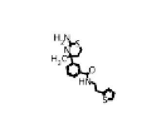 CC1(c2cccc(C(=O)NCCc3cccs3)c2)CCSC(N)=N1